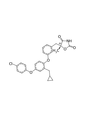 C[C@]1(Cc2cccc(Oc3ccc(Oc4ccc(Cl)cc4)cc3CC3CC3)c2)OC(=O)NC1=O